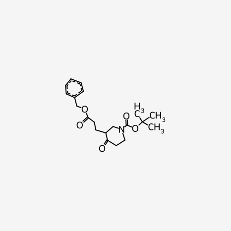 CC(C)(C)OC(=O)N1CCC(=O)C(CCC(=O)OCc2ccccc2)C1